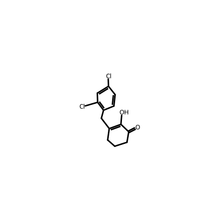 O=C1CCCC(Cc2ccc(Cl)cc2Cl)=C1O